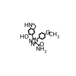 COc1ccc(-n2c(C(N)=O)nnc2-c2cc3c(cc2O)NCC3)cc1